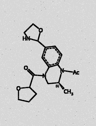 CC(=O)N1c2ccc(C3NCCO3)cc2N(C(=O)C2CCCO2)C[C@@H]1C